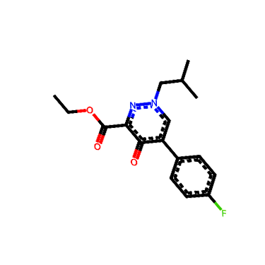 CCOC(=O)c1nn(CC(C)C)cc(-c2ccc(F)cc2)c1=O